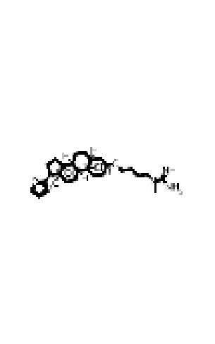 C[C@]12CC[C@H](OCCCCNC(=N)N)C[C@H]1CC[C@@H]1[C@@H]2CC[C@]2(C)[C@@H](c3ccco3)CC[C@]12O